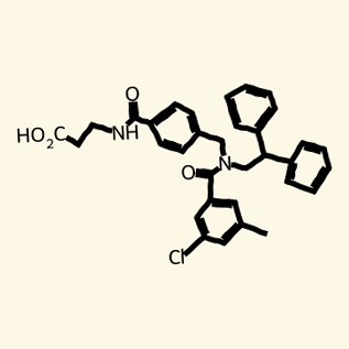 Cc1cc(Cl)cc(C(=O)N(Cc2ccc(C(=O)NCCC(=O)O)cc2)CC(c2ccccc2)c2ccccc2)c1